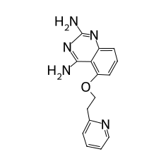 Nc1nc(N)c2c(OCCc3ccccn3)cccc2n1